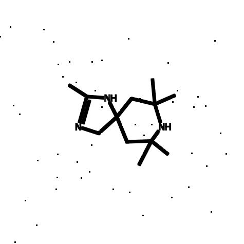 CC1=NCC2(CC(C)(C)NC(C)(C)C2)N1